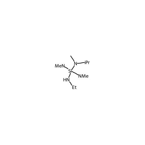 CCN[Si](NC)(NC)N(C)C(C)C